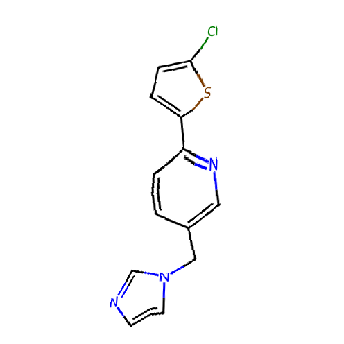 Clc1ccc(-c2ccc(Cn3ccnc3)cn2)s1